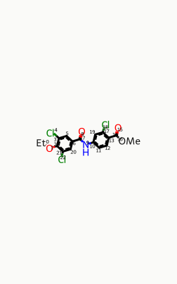 CCOc1c(Cl)cc(C(=O)Nc2ccc(C(=O)OC)c(Cl)c2)cc1Cl